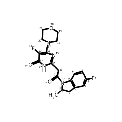 C[C@@H]1Cc2cc(F)ccc2N1C(=O)Cc1nc(N2CCOCC2)c(F)c(=O)[nH]1